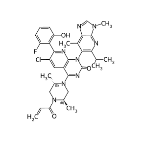 C=CC(=O)N1C[C@H](C)N(c2nc(=O)n(-c3c(C(C)C)nc4c(ncn4C)c3C)c3nc(-c4c(O)cccc4F)c(Cl)cc23)C[C@H]1C